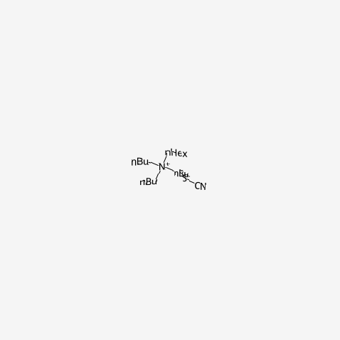 CCCCCC[N+](CCCC)(CCCC)CCCC.N#C[S-]